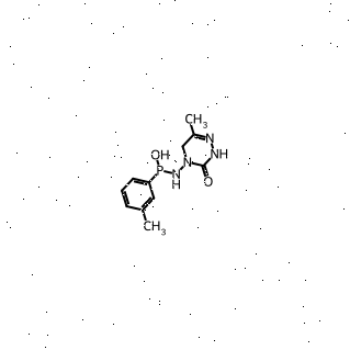 CC1=NNC(=O)N(NP(O)c2cccc(C)c2)C1